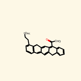 CCCCCCCCCCCCc1cccc2c1Cc1cc3c(cc1=C2)Cc1ccccc1C=3C(=O)C=O